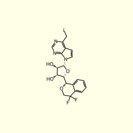 O[C@@H]1[C@H](O)[C@@H]([C@@H]2OCC(F)(F)c3ccccc32)O[C@H]1n1ccc2c(CI)ncnc21